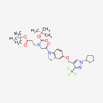 CC(C)(C)OC(=O)CCN(CC(=O)N1CCc2cc(OCc3cn(C4CCCC4)nc3C(F)(F)F)ccc21)C(=O)OC(C)(C)C